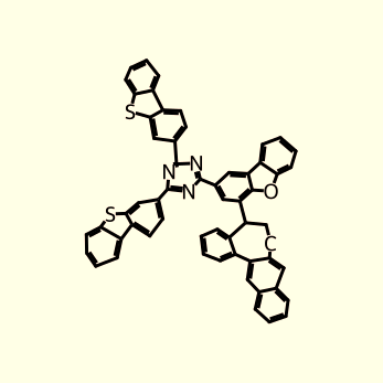 c1ccc2c(c1)-c1cc3ccccc3cc1CCC2c1cc(-c2nc(-c3ccc4c(c3)sc3ccccc34)nc(-c3ccc4c(c3)sc3ccccc34)n2)cc2c1oc1ccccc12